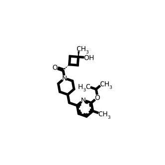 Cc1ccc(CC2CCN(C(=O)[C@H]3C[C@@](C)(O)C3)CC2)nc1OC(C)C